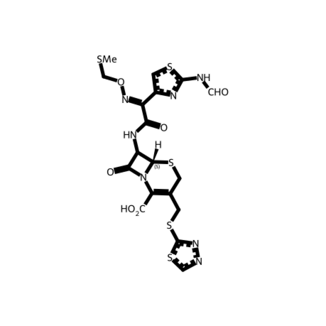 CSCON=C(C(=O)NC1C(=O)N2C(C(=O)O)=C(CSc3nncs3)CS[C@@H]12)c1csc(NC=O)n1